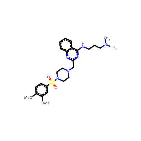 COc1ccc(S(=O)(=O)N2CCN(Cc3nc(NCCCN(C)C)c4ccccc4n3)CC2)cc1OC